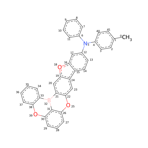 Cc1ccc(N(c2ccccc2)c2ccc3c(c2)oc2cc4c(cc23)Oc2cccc3c2B4c2ccccc2O3)cc1